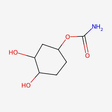 NC(=O)OC1CCC(O)C(O)C1